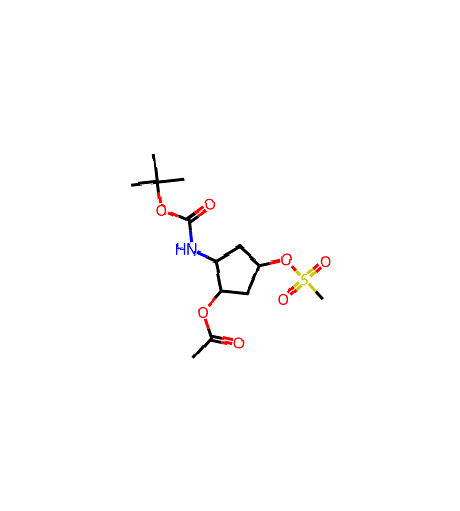 CC(=O)OC1CC(OS(C)(=O)=O)CC1NC(=O)OC(C)(C)C